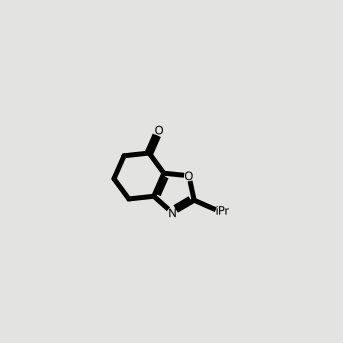 CC(C)c1nc2c(o1)C(=O)CCC2